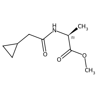 COC(=O)[C@H](C)NC(=O)CC1CC1